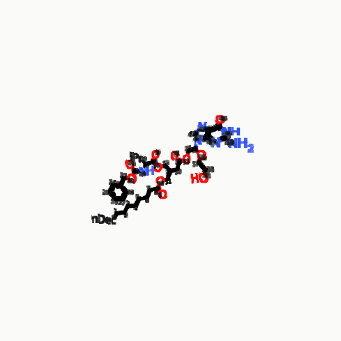 CCCCCCCCCCCCCCCCCC(=O)OCC(COC(=O)[C@@H](NC(=O)OCc1ccccc1)C(C)C)CC(=O)OCC(OCCO)n1cnc2c(=O)[nH]c(N)nc21